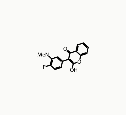 CNc1cc(-c2c(O)oc3ccccc3c2=O)ccc1F